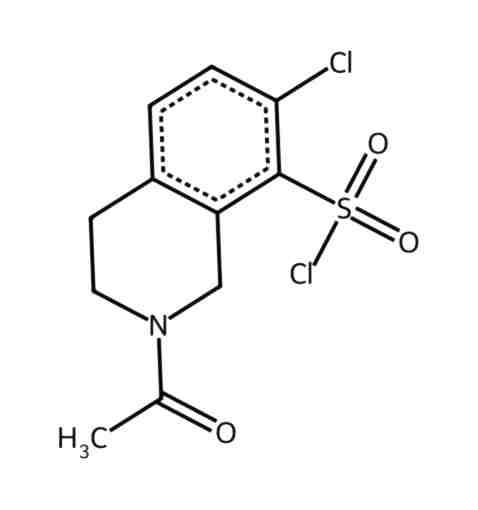 CC(=O)N1CCc2ccc(Cl)c(S(=O)(=O)Cl)c2C1